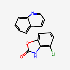 O=c1[nH]c2c(Cl)cccc2o1.c1ccc2ncccc2c1